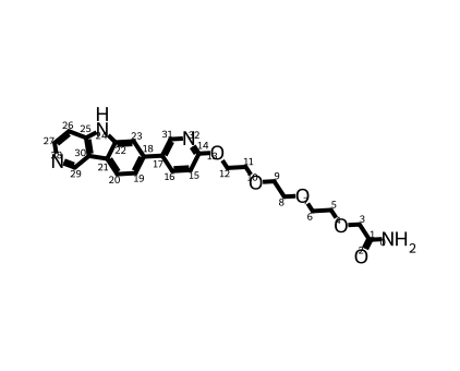 NC(=O)COCCOCCOCCOc1ccc(-c2ccc3c(c2)[nH]c2ccncc23)cn1